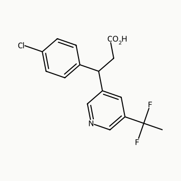 CC(F)(F)c1cncc(C(CC(=O)O)c2ccc(Cl)cc2)c1